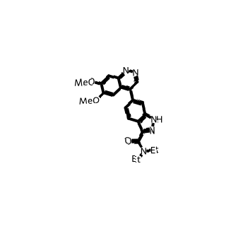 CCN(CC)C(=O)c1n[nH]c2cc(-c3cnnc4cc(OC)c(OC)cc34)ccc12